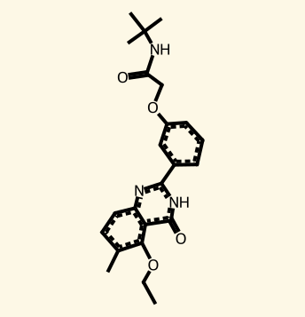 CCOc1c(C)ccc2nc(-c3cccc(OCC(=O)NC(C)(C)C)c3)[nH]c(=O)c12